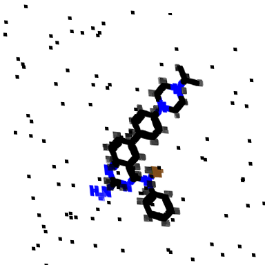 CC(C)N1CCN(c2ccc(-c3ccc4nc(N)nc(N(Br)c5ccccc5)c4c3)cc2)CC1